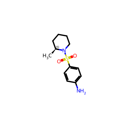 C[C@H]1CCCCN1S(=O)(=O)c1ccc(N)cc1